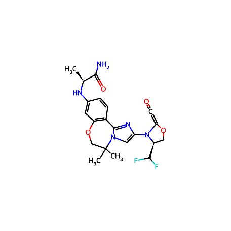 C[C@H](Nc1ccc2c(c1)OCC(C)(C)n1cc(N3C(=C=O)OC[C@H]3C(F)F)nc1-2)C(N)=O